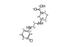 O=C(O)N1CCC[C@@H](NCCNc2cccc(Cl)c2)C1